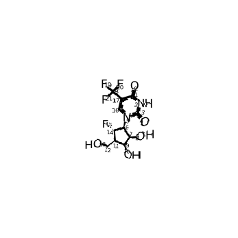 O=c1[nH]c(=O)n([C@H]2C(O)C(O)[C@@H](CO)[C@@H]2F)cc1C(F)(F)F